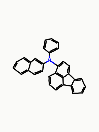 c1ccc(N(c2ccc3ccccc3c2)c2ccc3c4c(cccc24)-c2ccccc2-3)cc1